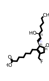 CCCCC[C@H](O)/C=C/[C@@H]1C(CCCCCCC(=O)O)=C(CF)C[C@H]1O